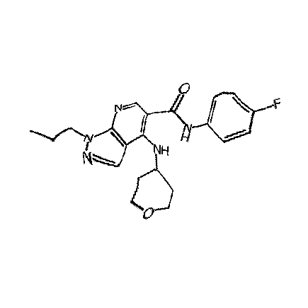 CCCn1ncc2c(NC3CCOCC3)c(C(=O)Nc3ccc(F)cc3)cnc21